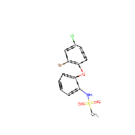 CS(=O)(=O)Nc1ccccc1Oc1ccc(Cl)cc1Br